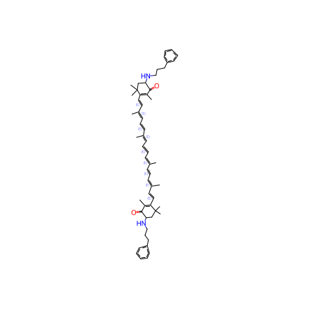 CC1=C(/C=C/C(C)=C/C=C/C(C)=C/C=C/C=C(C)/C=C/C=C(C)/C=C/C2=C(C)C(=O)C(NCCCc3ccccc3)CC2(C)C)C(C)(C)CC(NCCCc2ccccc2)C1=O